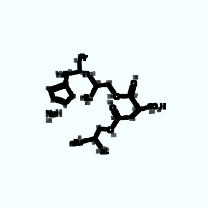 CC(C)[CH2][AlH][C]1=CC=CC1.CCCCC(CC)COC(=O)CC(C(=O)OCC(CC)CCCC)S(=O)(=O)O.[NaH]